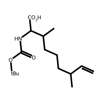 C=CC(C)CCCC(C)C(NC(=O)OC(C)(C)C)C(=O)O